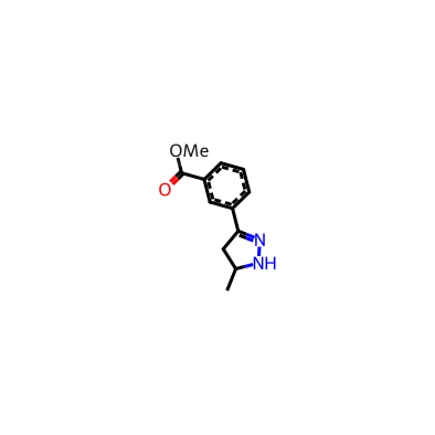 COC(=O)c1cccc(C2=NNC(C)C2)c1